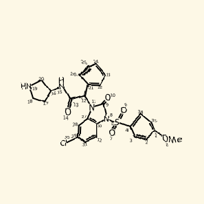 COc1ccc(S(=O)(=O)n2c(=O)n(C(C(=O)N[C@H]3CCNC3)c3ccccc3)c3cc(Cl)ccc32)cc1